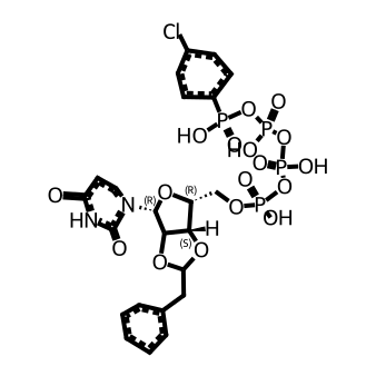 O=c1ccn([C@@H]2O[C@H](COP(=O)(O)OP(=O)(O)OP(=O)(O)OP(=O)(O)c3ccc(Cl)cc3)[C@@H]3OC(Cc4ccccc4)OC32)c(=O)[nH]1